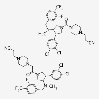 CN(Cc1ccc(C(F)(F)F)c(F)c1)C1CN(C(=O)CN2CCN(CCC#N)CC2)CC1c1ccc(Cl)c(Cl)c1.CN(Cc1ccc(C(F)(F)F)c(F)c1)C1CN(C(=O)N2CCN(CCC#N)CC2)CC1c1ccc(Cl)c(Cl)c1